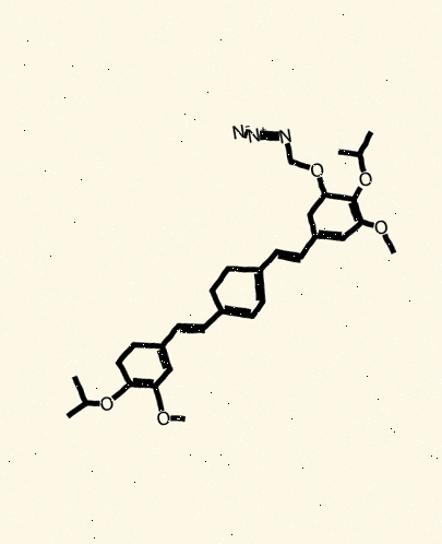 COC1=C(OC(C)C)CCC(/C=C/C2=CC=C(/C=C/C3=CC(OC)=C(OC(C)C)C(OCN=[N+]=[N-])C3)CC2)=C1